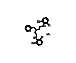 CCc1cccc(CC)c1NCCN(CCNc1c(CC)cccc1CC)Cc1ccccn1.[Mn]